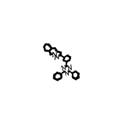 c1ccc(-c2nc(-c3ccccc3)nc(-c3cccc(-c4cc5cc6ccccc6cn5n4)c3)n2)cc1